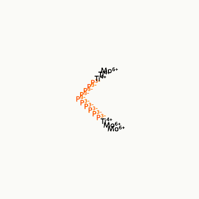 [Mo+6].[Mo+6].[Mo+6].[P-3].[P-3].[P-3].[P-3].[P-3].[P-3].[P-3].[P-3].[P-3].[P-3].[Ti+4].[Ti+4].[Ti+4]